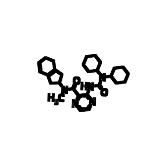 CN(C(=O)c1nccnc1NC(=O)N(C1CCCCC1)C1CCCCC1)C1CC2=C(CCC=C2)C1